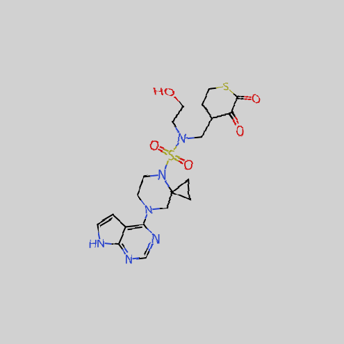 O=C1SCCC(CN(CCO)S(=O)(=O)N2CCN(c3ncnc4[nH]ccc34)CC23CC3)C1=O